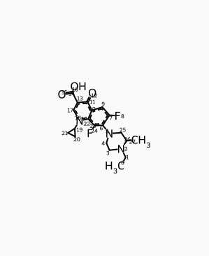 CCN1CCN(c2c(F)cc3c(=O)c(C(=O)O)cn(C4CC4)c3c2F)CC1C